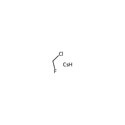 FCCl.[CsH]